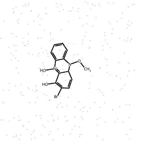 CON1c2ccccc2[N+](O)=C2C(O)=C(Br)C=CC21